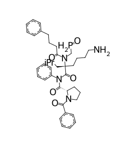 CC(C)C[C@@](CCCCN)(C(=O)N(C(=O)[C@@H]1CCCN1C(=O)c1ccccc1)c1ccccc1)N(C[PH2]=O)C(=O)CCCc1ccccc1